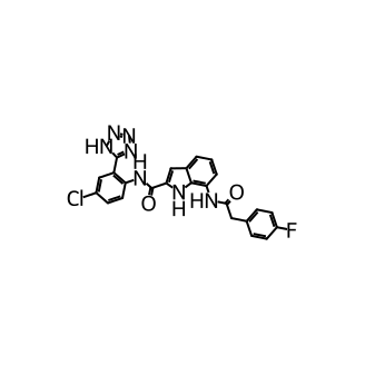 O=C(Cc1ccc(F)cc1)Nc1cccc2cc(C(=O)Nc3ccc(Cl)cc3-c3nnn[nH]3)[nH]c12